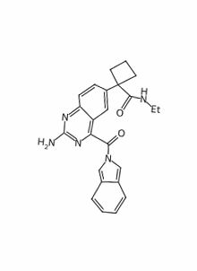 CCNC(=O)C1(c2ccc3nc(N)nc(C(=O)n4cc5ccccc5c4)c3c2)CCC1